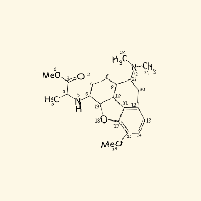 COC(=O)C(C)NC1CCC2C3c4c(ccc(OC)c4OC13)CC2N(C)C